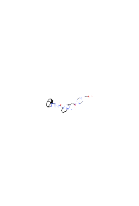 COCCN1CCN(C(=O)Cc2cn3c(C(=O)NCC45CC6CC(CC(C6)C4)C5)cccc3n2)CC1